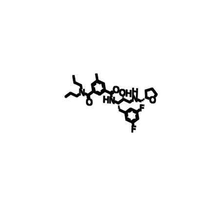 CCCN(CCC)C(=O)c1cc(C)cc(C(=O)N[C@@H](Cc2cc(F)cc(F)c2)[C@H](O)CNC[C@@H]2CCCO2)c1